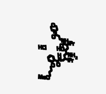 COCCCCOc1ccccc1C(=O)NCC(CC(N)C(O)CC(C(=O)NCCC(=O)N1CCOCC1)C(C)C)C(C)C.Cl